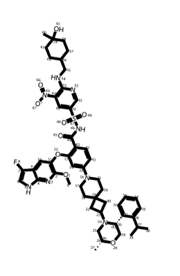 COc1nc2[nH]cc(F)c2cc1Oc1cc(N2CCC3(CC2)CC(N2C[C@@H](C)OC[C@H]2c2ccccc2C(C)C)C3)ccc1C(=O)NS(=O)(=O)c1cnc(NCC2CCC(C)(O)CC2)c([N+](=O)[O-])c1